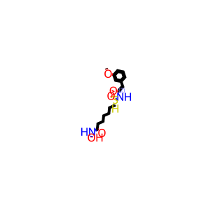 COc1cccc(/C=C2/N[SH](CCCCCCC(=O)NO)OO2)c1